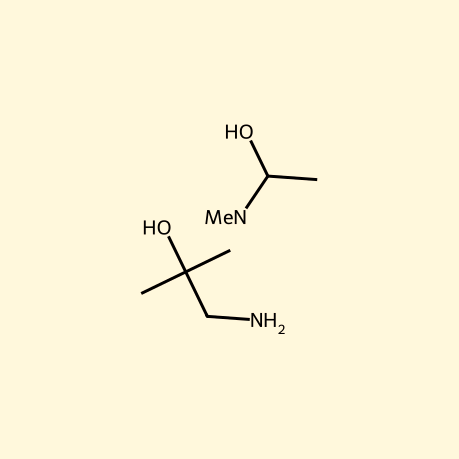 CC(C)(O)CN.CNC(C)O